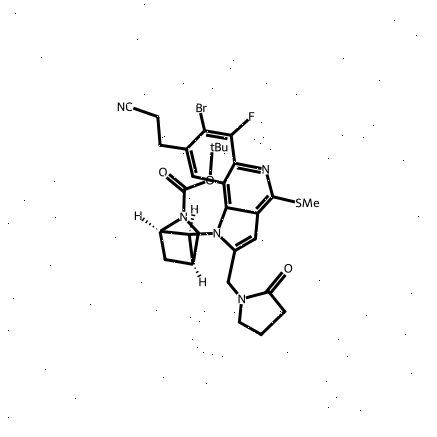 CSc1nc2c(F)c(Br)c(CCC#N)cc2c2c1cc(CN1CCCC1=O)n2[C@H]1[C@@H]2C[C@H]1N(C(=O)OC(C)(C)C)C2